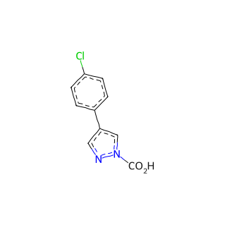 O=C(O)n1cc(-c2ccc(Cl)cc2)cn1